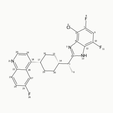 C[C@@H](c1nc2c(Cl)c(F)cc(F)c2[nH]1)[C@H]1CC[C@@H](c2ccnc3ccc(F)cc32)CC1